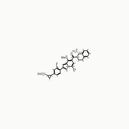 CCOC(=O)[C@@H]1CC1c1ccc(-c2cc3c(OC)c(C(=O)N4CCc5ccccc5[C@H]4C)cc(CC)n3n2)c(F)c1